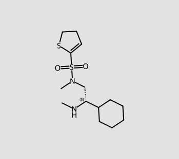 CN[C@H](CN(C)S(=O)(=O)C1=CCCS1)C1CCCCC1